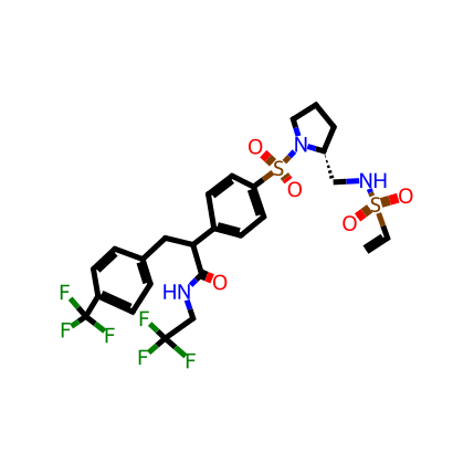 C=CS(=O)(=O)NC[C@H]1CCCN1S(=O)(=O)c1ccc(C(Cc2ccc(C(F)(F)F)cc2)C(=O)NCC(F)(F)F)cc1